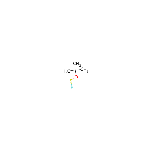 CC(C)(C)OSF